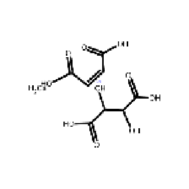 O=C(O)/C=C\C(=O)O.O=C(O)C(O)C(O)C(=O)O.[CaH2]